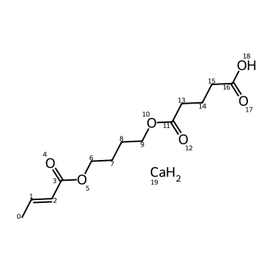 CC=CC(=O)OCCCCOC(=O)CCCC(=O)O.[CaH2]